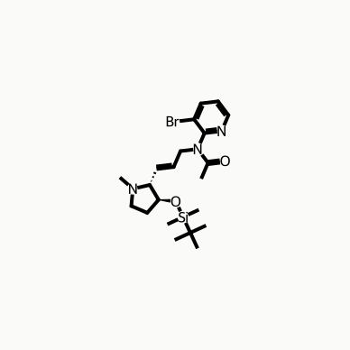 CC(=O)N(C/C=C/[C@@H]1[C@@H](O[Si](C)(C)C(C)(C)C)CCN1C)c1ncccc1Br